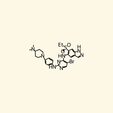 CCS(=O)(=O)c1cc2[nH]ncc2cc1Nc1nc(Nc2ccc(N3CCC(N(C)C)CC3)cc2)ncc1Br